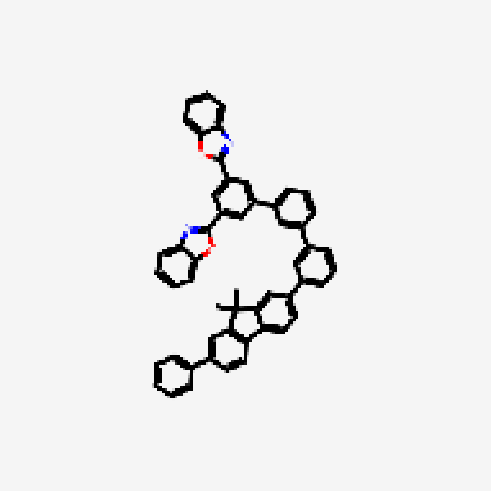 CC1(C)c2cc(-c3ccccc3)ccc2-c2ccc(-c3cccc(-c4cccc(-c5cc(-c6nc7ccccc7o6)cc(-c6nc7ccccc7o6)c5)c4)c3)cc21